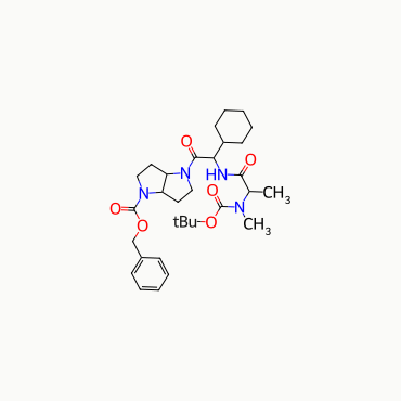 CC(C(=O)NC(C(=O)N1CCC2C1CCN2C(=O)OCc1ccccc1)C1CCCCC1)N(C)C(=O)OC(C)(C)C